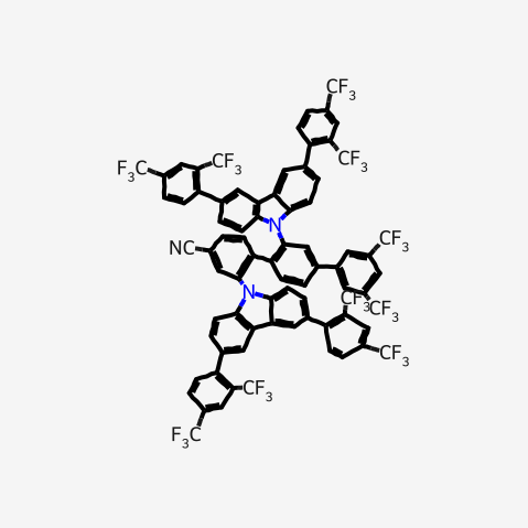 N#Cc1ccc(-c2ccc(-c3cc(C(F)(F)F)cc(C(F)(F)F)c3)cc2-n2c3ccc(-c4ccc(C(F)(F)F)cc4C(F)(F)F)cc3c3cc(-c4ccc(C(F)(F)F)cc4C(F)(F)F)ccc32)c(-n2c3ccc(-c4ccc(C(F)(F)F)cc4C(F)(F)F)cc3c3cc(-c4ccc(C(F)(F)F)cc4C(F)(F)F)ccc32)c1